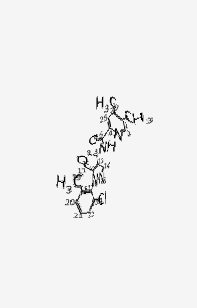 Cc1cnc(C(=O)N[C@H]2COCc3c2cnn3-c2c(C)cccc2Cl)cc1C